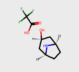 C[C@]1(O)C[C@H]2CC[C@@H](C1)N2.O=C(O)C(F)(F)F